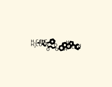 CC(c1ccccc1)N(CC(=O)OC(C)(C)C)C(=O)CCC(=O)O[C@H]1CC[C@@]2(C)C(=CC[C@H]3C4CC=C(c5cccnc5)[C@@]4(C)CC[C@@H]32)C1